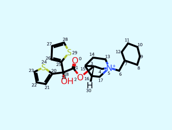 O=C(O[C@H]1C[N+]2(CC3CCCCC3)CCC1CC2)C(O)(c1cccs1)c1cccs1